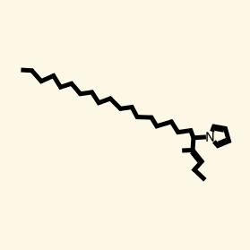 CCC=C(C)C(CCCCCCCCCCCCCCCCCC)n1cccc1